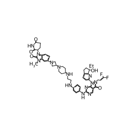 CC[C@@]1(O)CCc2ccc(-n3c4nc(Nc5ccc(NCCNC6CCN(C7CN(c8ccc9c(c8)n(C)c(=O)n9C8CCC(=O)NC8=O)C7)CC6)cc5)ncc4c(=O)n3CC=C(F)F)nc21